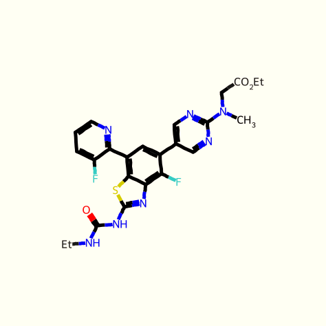 CCNC(=O)Nc1nc2c(F)c(-c3cnc(N(C)CC(=O)OCC)nc3)cc(-c3ncccc3F)c2s1